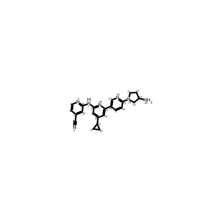 N#Cc1ccnc(Nc2cc(C3CC3)cc(-c3ccc(N4CCC(N)C4)nc3)n2)c1